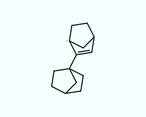 C1=C(C23CCC(CC2)C3)[C]2CCC1C2